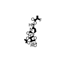 C=C(F)C(=O)ONc1ccn([C@@H]2O[C@H](CO)[C@H]3OC(C)(C)O[C@H]32)c(=O)n1